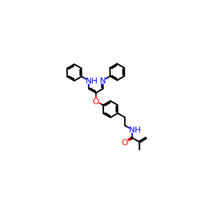 C=C(C)C(=O)NCCc1ccc(OC(C=Nc2ccccc2)=CNc2ccccc2)cc1